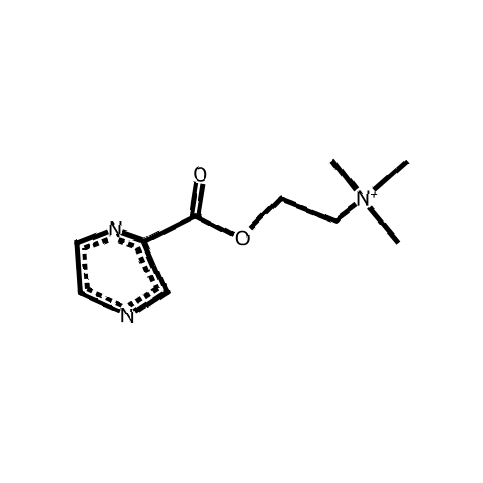 C[N+](C)(C)CCOC(=O)c1cnccn1